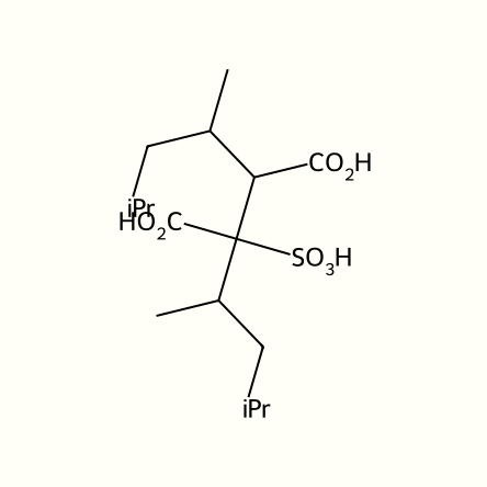 CC(C)CC(C)C(C(=O)O)C(C(=O)O)(C(C)CC(C)C)S(=O)(=O)O